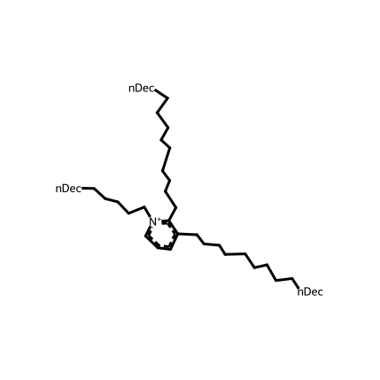 CCCCCCCCCCCCCCCCCCCc1ccc[n+](CCCCCCCCCCCCCCC)c1CCCCCCCCCCCCCCCCCCC